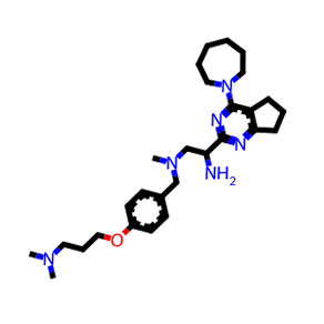 CN(C)CCCOc1ccc(CN(C)CC(N)c2nc3c(c(N4CCCCCC4)n2)CCC3)cc1